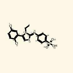 CCn1c(-c2cc(Cl)ccc2Cl)cs/c1=N\c1ccc(S(=O)(=O)O)cc1